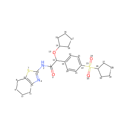 O=C(Nc1nc2c(s1)CCCC2)C(OC1CCCC1)c1ccc(S(=O)(=O)C2CCCC2)cc1